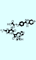 N=C(NC1CCNCC1)c1ccc(OC[C@H](O/N=C(\C(=O)NC2C(=O)N(S(=O)(=O)O)C2Cn2cncn2)c2csc(N)n2)C(=O)O)cc1